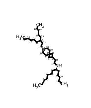 CCCCCCCC(CCCCC)NCCC1CC2(CCN(CCC(CCCCC)CCCCCC)CC2)C1